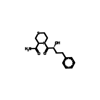 NC(=O)C1CSCCN1C(=O)[C@H](O)[CH]Cc1ccccc1